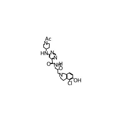 CC(=O)N1CCC(Nc2cc(C(=O)NCC(O)CN3CCc4c(ccc(O)c4Cl)C3)ncn2)CC1